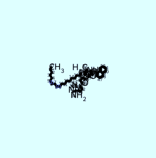 CCCCC/C=C\C/C=C\CCCCCCCCOC(=O)[C@H](C)NP(=O)(OC[C@H]1O[C@@H](c2ccc3c(N)ncnn23)C[C@@H]1O)Oc1cccc2ccccc12